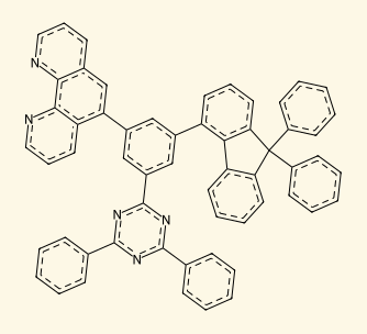 c1ccc(-c2nc(-c3ccccc3)nc(-c3cc(-c4cccc5c4-c4ccccc4C5(c4ccccc4)c4ccccc4)cc(-c4cc5cccnc5c5ncccc45)c3)n2)cc1